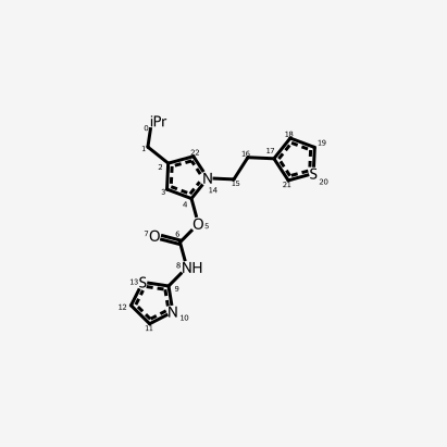 CC(C)Cc1cc(OC(=O)Nc2nccs2)n(CCc2ccsc2)c1